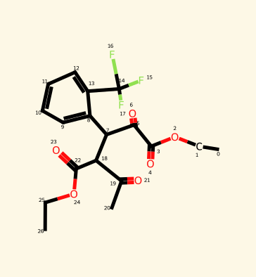 CCOC(=O)C(=O)C(c1ccccc1C(F)(F)F)C(C(C)=O)C(=O)OCC